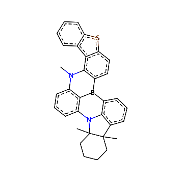 CN1c2cccc3c2B(c2cccc4c2N3C2(C)CCCCC42C)c2ccc3sc4ccccc4c3c21